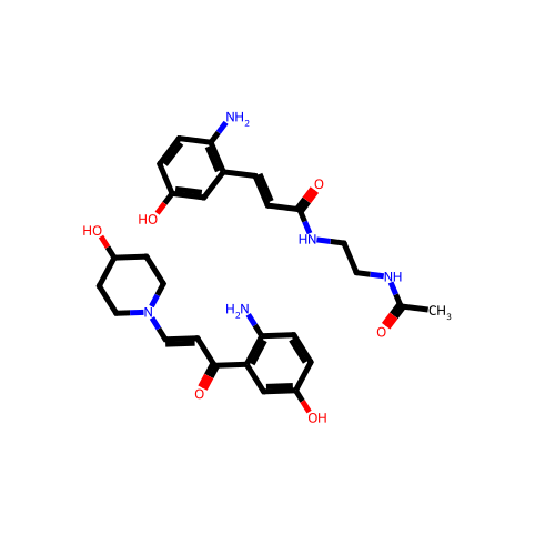 CC(=O)NCCNC(=O)C=Cc1cc(O)ccc1N.Nc1ccc(O)cc1C(=O)C=CN1CCC(O)CC1